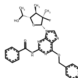 CC(O)[C@H]1O[C@@H](n2cnc3c(OCc4ccccc4)nc(NC(=O)c4ccccc4)nc32)[C@](C)(F)[C@@H]1C